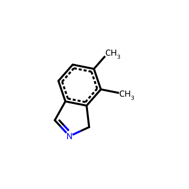 Cc1ccc2c(c1C)CN=C2